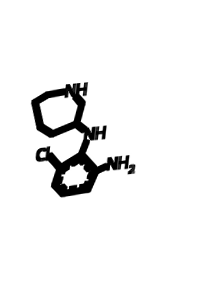 Nc1cccc(Cl)c1NC1CCCCNC1